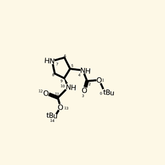 CC(C)(C)OC(=O)NC1CNC[C@@H]1NC(=O)OC(C)(C)C